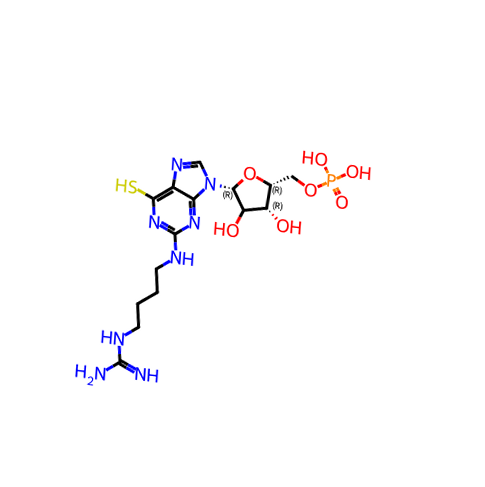 N=C(N)NCCCCNc1nc(S)c2ncn([C@@H]3O[C@H](COP(=O)(O)O)[C@H](O)C3O)c2n1